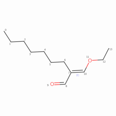 CCCCCCC/C(C=O)=C\OCC